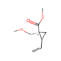 C=CC1C[C@]1(COC)C(=O)OC